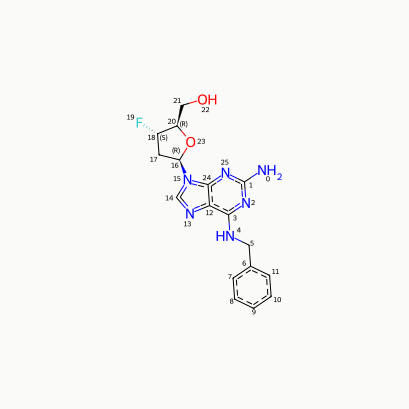 Nc1nc(NCc2ccccc2)c2ncn([C@H]3C[C@H](F)[C@@H](CO)O3)c2n1